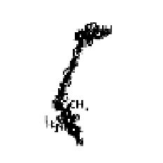 CCc1cc2c(cc1-c1cnn(CC(=O)NCCOCCOCCOCCOCCNc3cccc4c3C(=O)N(C3CCC(=O)NC3=O)C4=O)c1)C(C)(C)c1[nH]c3cc(C#N)ccc3c1C2=O